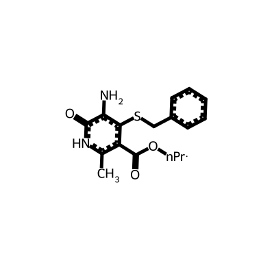 CC[CH]OC(=O)c1c(C)[nH]c(=O)c(N)c1SCc1ccccc1